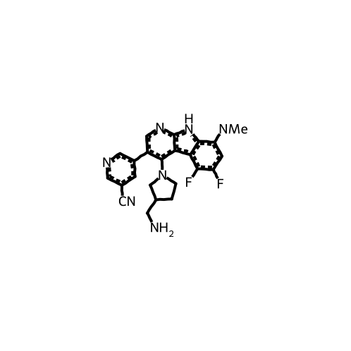 CNc1cc(F)c(F)c2c1[nH]c1ncc(-c3cncc(C#N)c3)c(N3CCC(CN)C3)c12